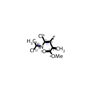 C=C(C(=O)OC)/C(I)=C(Cl)\N=C(/C)Cl